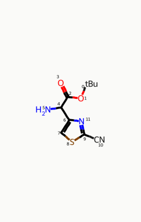 CC(C)(C)OC(=O)C(N)c1csc(C#N)n1